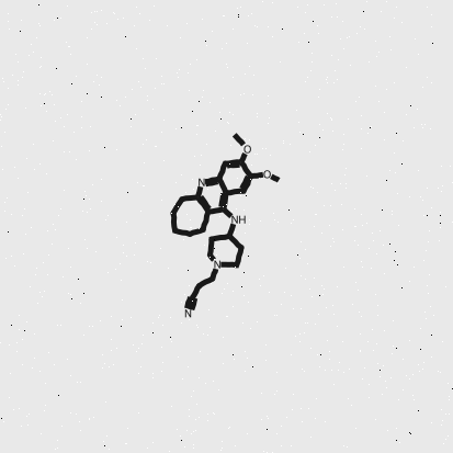 COc1cc2nc3c(c(NC4CCN(CCC#N)CC4)c2cc1OC)CCCCC3